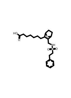 O=C(O)CCCCCCC1C2CCC(O2)C1CNS(=O)(=O)CCc1ccccc1